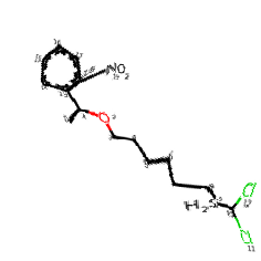 CC(OCCCCCC[SiH2]C(Cl)Cl)c1ccccc1[N+](=O)[O-]